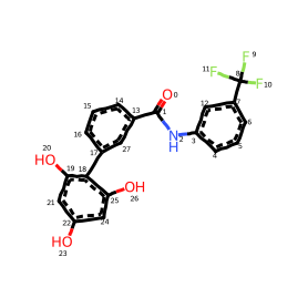 O=C(Nc1cccc(C(F)(F)F)c1)c1cccc(-c2c(O)cc(O)cc2O)c1